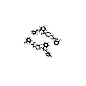 CCc1ccccc1NC(=O)CN1CCN(C(=O)c2ccccc2SCc2ccsc2)CC1.Cc1cc(CSc2ccccc2C(=O)N2CCN(CC(=O)Nc3ccccc3Cl)CC2)no1